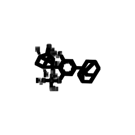 Cc1cc(C23CC4CC(CC(C4)C2)C3)cc(O[Si](C)(C)C(C)(C)C)c1[C@@H]1CC(=O)[C@@H]2C[C@H]1C2(C)C